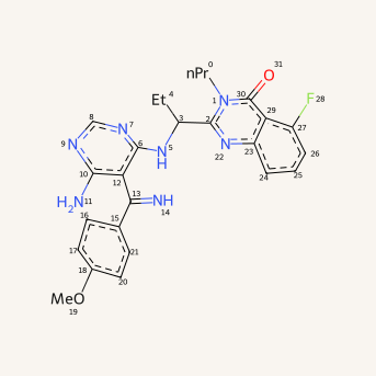 CCCn1c(C(CC)Nc2ncnc(N)c2C(=N)c2ccc(OC)cc2)nc2cccc(F)c2c1=O